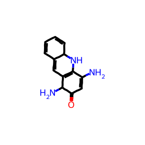 NC1=CC(=O)C(N)C2=C1NC1C=CC=CC1=C2